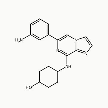 Nc1cccc(-c2cn3ccnc3c(NC3CCC(O)CC3)n2)c1